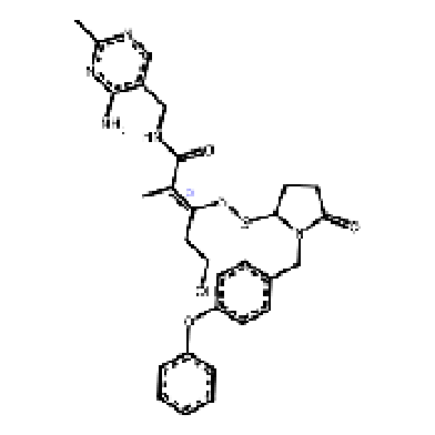 C/C(C(=O)NCc1cnc(C)nc1N)=C(\CCO)SSC1CCC(=O)N1Cc1ccc(Oc2ccccc2)cc1